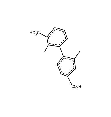 Cc1cc(C(=O)O)ccc1-c1cccc(C(=O)O)c1C